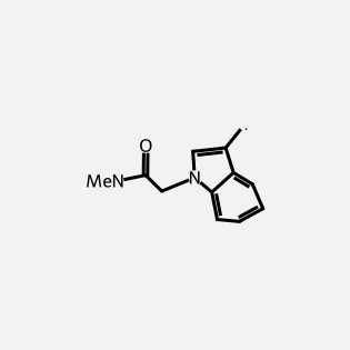 [CH2]c1cn(CC(=O)NC)c2ccccc12